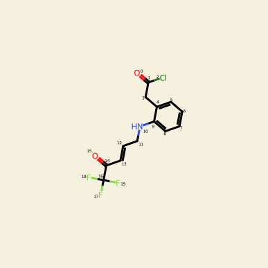 O=C(Cl)Cc1ccccc1NCC=CC(=O)C(F)(F)F